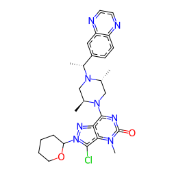 C[C@@H]1CN(c2nc(=O)n(C)c3c(Cl)n(C4CCCCO4)nc23)[C@@H](C)CN1[C@H](C)c1ccc2nccnc2c1